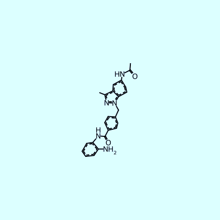 CC(=O)Nc1ccc2c(c1)c(C)nn2Cc1ccc(C(=O)Nc2ccccc2N)cc1